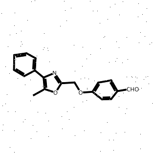 Cc1oc(COc2ccc(C=O)cc2)nc1-c1ccccc1